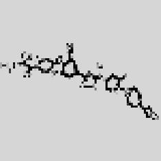 CC(O)C(=O)N1CC[C@H](Oc2ccc(-c3ncnc(Nc4cnc(N5CCN(C6COC6)CC5)c(F)c4)n3)cc2C#N)[C@H](F)C1